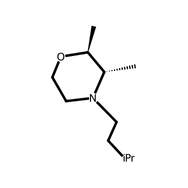 CC(C)CCN1CCO[C@@H](C)[C@@H]1C